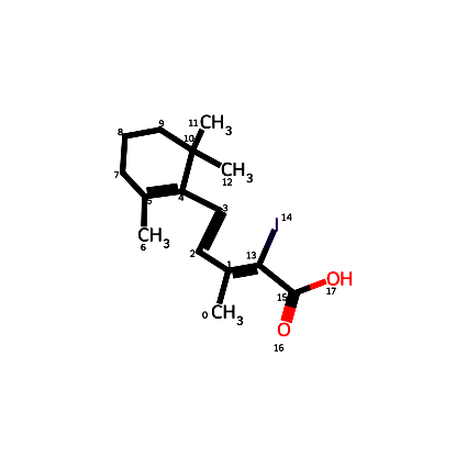 CC(C=CC1=C(C)CCCC1(C)C)=C(I)C(=O)O